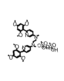 COc1cc(OC)c(-c2ccc(N(C)CCN(C)c3ccc(-c4c(OC)cc(OC)cc4OC)nc3)cn2)c(OC)c1.CS(=O)(=O)O.CS(=O)(=O)O